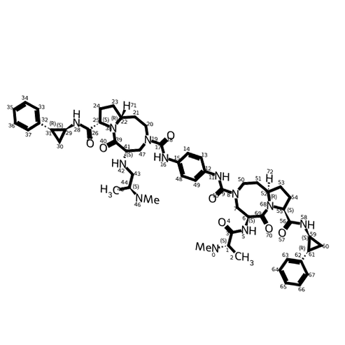 CN[C@@H](C)C(=O)N[C@H]1CN(C(=O)Nc2ccc(NC(=O)N3CC[C@H]4CC[C@@H](C(=O)N[C@H]5C[C@@H]5c5ccccc5)N4C(=O)[C@@H](NC[C@H](C)NC)C3)cc2)CC[C@H]2CC[C@@H](C(=O)N[C@H]3C[C@@H]3c3ccccc3)N2C1=O